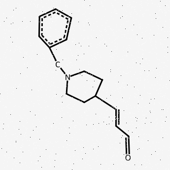 O=CC=CC1CCN(Cc2ccccc2)CC1